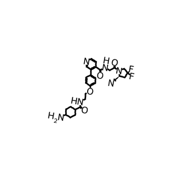 N#C[C@@H]1CC(F)(F)CN1C(=O)CNC(=O)c1ccncc1-c1ccc(OCCNC(=O)C2CCC(N)CC2)cc1